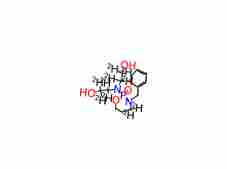 [2H]C1([2H])CCOP(=O)(N(C([2H])([2H])C([2H])([2H])O)C([2H])([2H])C([2H])([2H])O)N1Cc1ccccc1